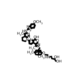 COc1ccc2sc(Nc3nnc4c(c3C)CCCN4c3ccc(-c4cnn(CC56CC7(C)CC(C)(C5)CC(OCCNCCC(O)CO)(C7)C6)c4C)c(C(=O)O)n3)nc2c1